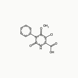 O.O=C(O)c1[nH]c(=O)n(-c2ccccc2)c(=O)c1Cl